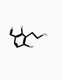 CCCc1c(O)ccc(C=O)c1Cl